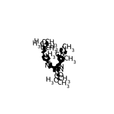 Cc1cc(-c2cc3c(-c4cnn(C5CCN(CCO[Si](C)(C)C(C)(C)C)CC5)c4)cn(C(=O)OC(C)(C)C)c3nn2)cc(C)c1N1CCN(C)CC1